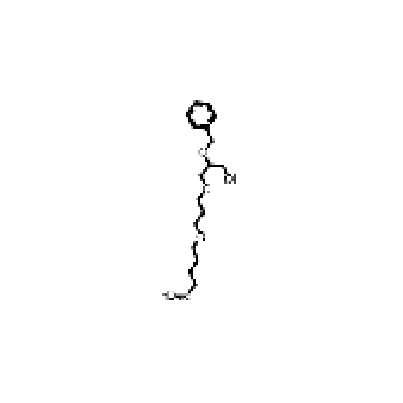 CCCCCCCCCCCCCCOCCCOCC(CO)OCc1ccccc1